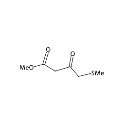 COC(=O)CC(=O)CSC